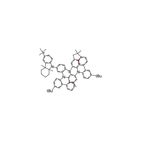 Cc1cc2c3c(c1)N(c1ccc(C(C)(C)C)cc1-c1ccccc1)c1cc4c(cc1B3c1ccc(N3c5ccc([Si](C)(C)C)cc5C5(C)CCCCC35C)cc1N2c1ccc(C(C)(C)C)cc1-c1ccccc1)CC(C)(C)C4